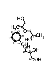 CC(O)COC(C)CO.OCC(O)CO.Oc1ccccc1